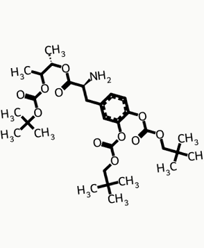 CC(OC(=O)OC(C)(C)C)[C@H](C)OC(=O)[C@@H](N)Cc1ccc(OC(=O)OCC(C)(C)C)c(OC(=O)OCC(C)(C)C)c1